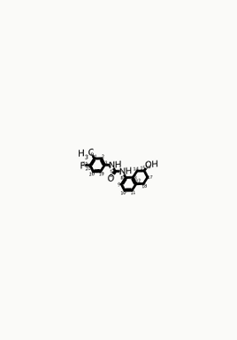 Cc1cc(NC(=O)Nc2cccc3c2CC(O)CC3)ccc1F